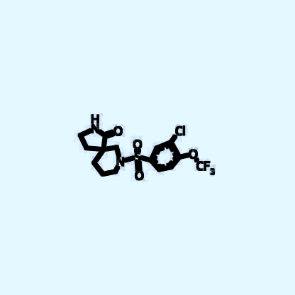 O=C1NCCC12CCCN(S(=O)(=O)c1ccc(OC(F)(F)F)c(Cl)c1)C2